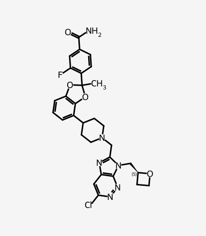 CC1(c2ccc(C(N)=O)cc2F)Oc2cccc(C3CCN(Cc4nc5cc(Cl)nnc5n4C[C@@H]4CCO4)CC3)c2O1